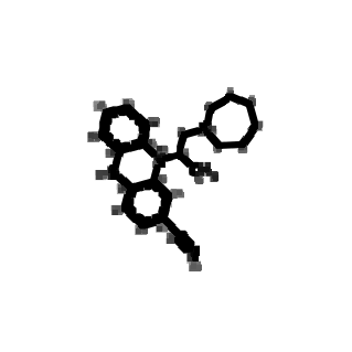 CC(CN1CCCCCC1)N1c2ccccc2Sc2ccc(C#N)cc21